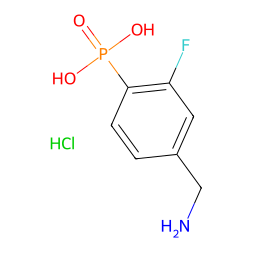 Cl.NCc1ccc(P(=O)(O)O)c(F)c1